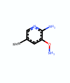 CNc1cnc(N)c(ON)c1